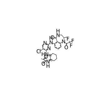 CC1CNC(=O)c2c(Nc3ncc(Cl)c(N[C@@H]4CCCC[C@H]4NS(C)(=O)=O)n3)cccc2N1C(=O)C(F)(F)F